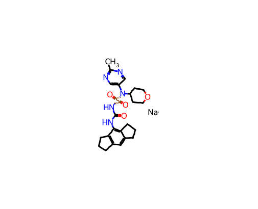 Cc1ncc(N(C2CCOCC2)S(=O)(=O)NC(=O)Nc2c3c(cc4c2CCC4)CCC3)cn1.[Na]